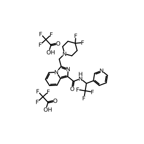 O=C(NC(c1cccnc1)C(F)(F)F)c1nc(CN2CCC(F)(F)CC2)n2ccccc12.O=C(O)C(F)(F)F.O=C(O)C(F)(F)F